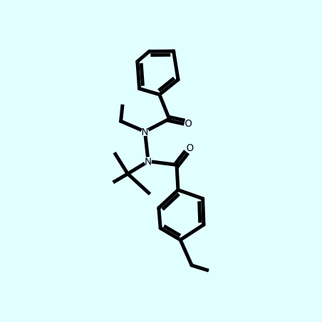 CCc1ccc(C(=O)N(N(CC)C(=O)c2ccccc2)C(C)(C)C)cc1